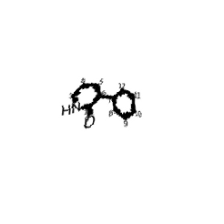 O=c1[nH]cccc1-c1[c]cccc1